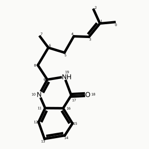 CC(C)=CCCC(C)Cc1nc2ccccc2c(=O)[nH]1